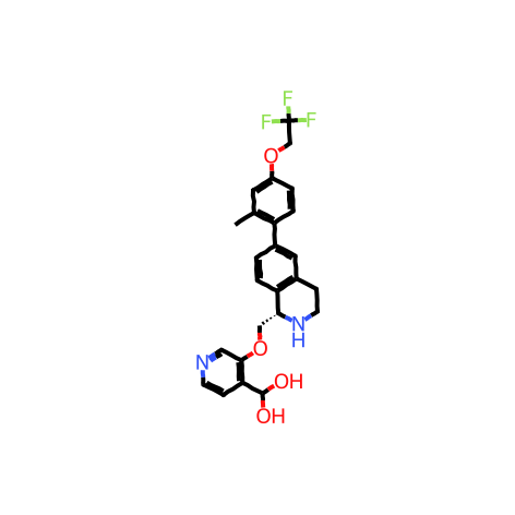 Cc1cc(OCC(F)(F)F)ccc1-c1ccc2c(c1)CCN[C@@H]2COc1cnccc1C(O)O